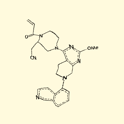 C=CC(=O)N1CCN(c2nc(OC)nc3c2CCN(c2cccc4cnccc24)C3)CC1CC#N